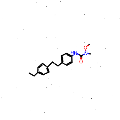 CCc1ccc(CCc2ccc(NC(=O)N(C)OC)cc2)cc1